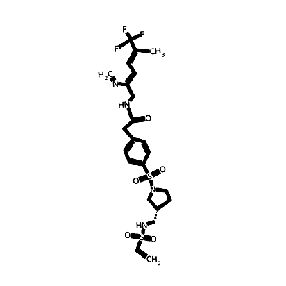 C=CS(=O)(=O)NC[C@H]1CCN(S(=O)(=O)c2ccc(CC(=O)NC/C(=C/C=C(\C)C(F)(F)F)N=C)cc2)C1